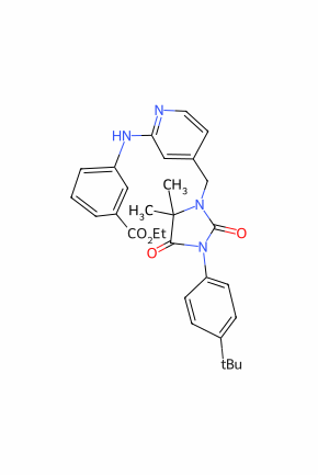 CCOC(=O)c1cccc(Nc2cc(CN3C(=O)N(c4ccc(C(C)(C)C)cc4)C(=O)C3(C)C)ccn2)c1